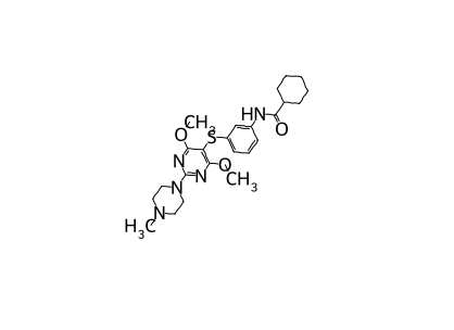 COc1nc(N2CCN(C)CC2)nc(OC)c1Sc1cccc(NC(=O)C2CCCCC2)c1